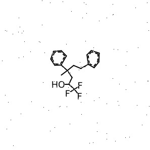 CC(CCc1ccccc1)(CC(O)C(F)(F)F)c1ccccc1